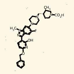 C[C@@H]1CN(C(=O)O)CC[C@@H]1CN1CCN(c2cc3c(cc2F)c(-c2ccc(OCc4ccccc4)nc2O)nn3C)CC1